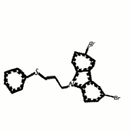 Brc1ccc2c(c1)c1cc(Br)ccc1n2CCCSc1ccccc1